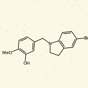 COc1ccc(CN2CCc3cc(Br)ccc32)cc1O